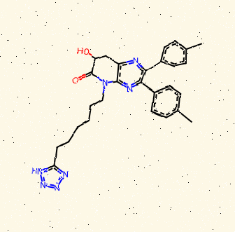 Cc1ccc(-c2nc3c(nc2-c2ccc(C)cc2)N(CCCCCCc2nnn[nH]2)C(=O)C(O)C3)cc1